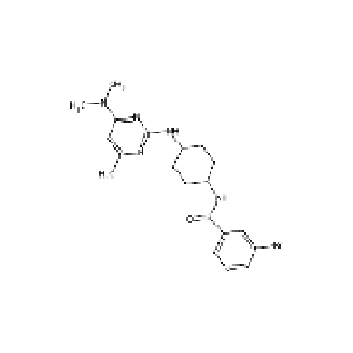 Cc1cc(N(C)C)nc(NC2CCC(NC(=O)c3cncc(Br)c3)CC2)n1